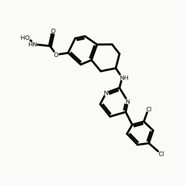 O=C(NO)Oc1ccc2c(c1)CC(Nc1nccc(-c3ccc(Cl)cc3Cl)n1)CC2